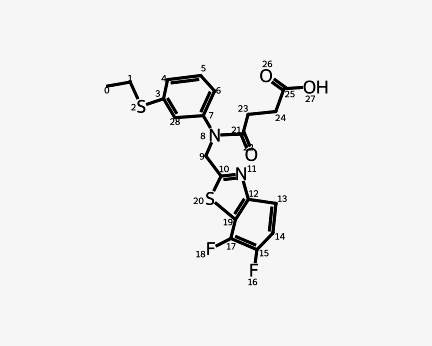 CCSc1cccc(N(Cc2nc3ccc(F)c(F)c3s2)C(=O)CCC(=O)O)c1